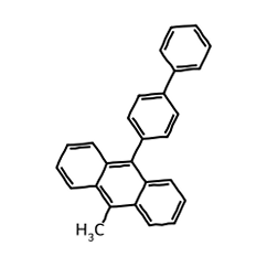 Cc1c2ccccc2c(-c2ccc(-c3ccccc3)cc2)c2ccccc12